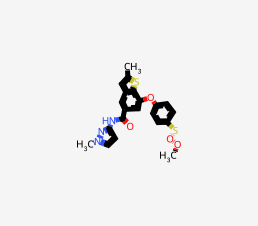 COOSc1ccc(Oc2cc(C(=O)Nc3ccn(C)n3)cc3cc(C)sc23)cc1